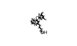 Cc1cc(C)nc(Oc2cc(CCCCO)nc3ccnn23)n1